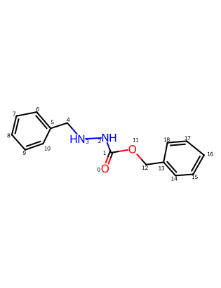 O=C(NNCc1ccccc1)OCc1ccccc1